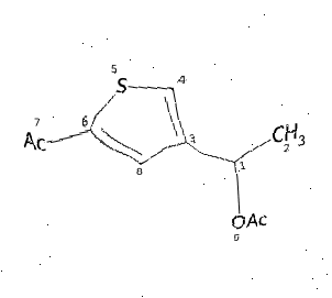 CC(=O)OC(C)c1csc(C(C)=O)c1